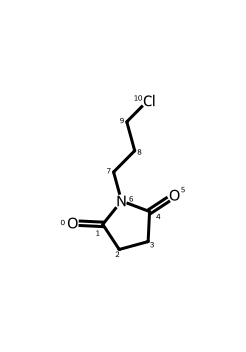 O=C1CCC(=O)N1CCCCl